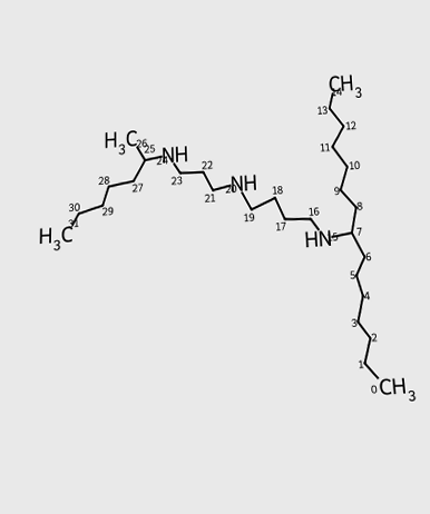 CCCCCCCC(CCCCCCC)NCCCCNCCCNC(C)CCCCC